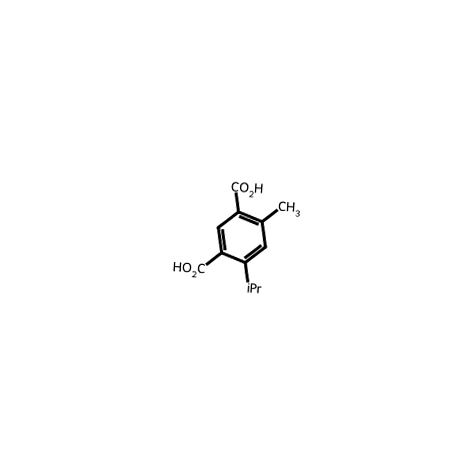 Cc1cc(C(C)C)c(C(=O)O)cc1C(=O)O